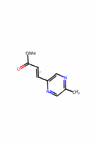 COC(=O)/C=C/c1cnc(C)cn1